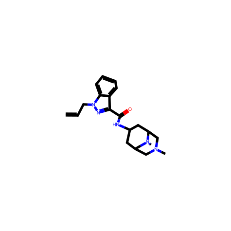 C=CCn1nc(C(=O)NC2CC3CN(C)CC(C2)N3C)c2ccccc21